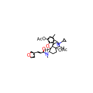 CC(=O)Oc1cc(C)c2c3c1O[C@H]1[C@@H](N(C)C(=O)/C=C/c4ccoc4)CC[C@@]4(OC(C)=O)[C@@H](C2)N(C2CC2)CC[C@]314